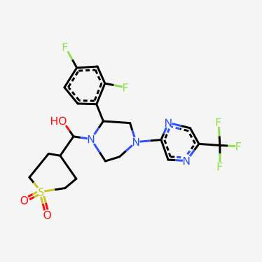 O=S1(=O)CCC(C(O)N2CCN(c3cnc(C(F)(F)F)cn3)CC2c2ccc(F)cc2F)CC1